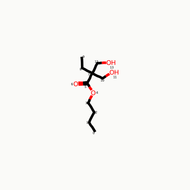 CCCCOC(=O)C(CC)(CO)CO